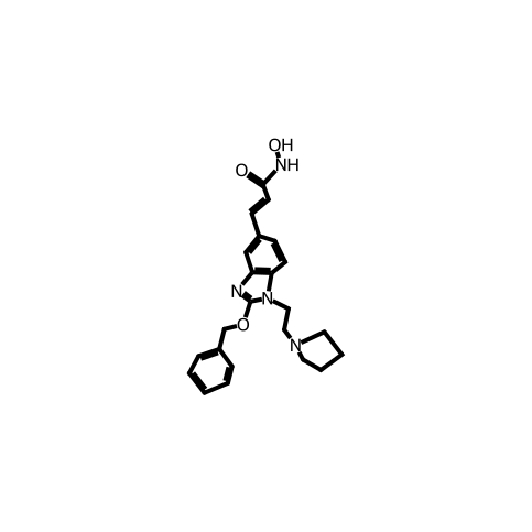 O=C(/C=C/c1ccc2c(c1)nc(OCc1ccccc1)n2CCN1CCCC1)NO